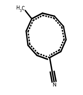 Cc1cccccc(C#N)ccc1